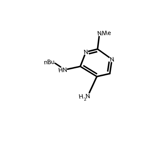 CCCCNc1nc(NC)ncc1N